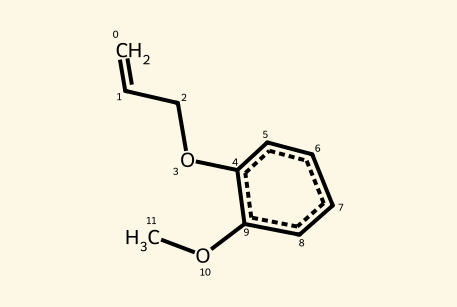 C=CCOc1ccccc1OC